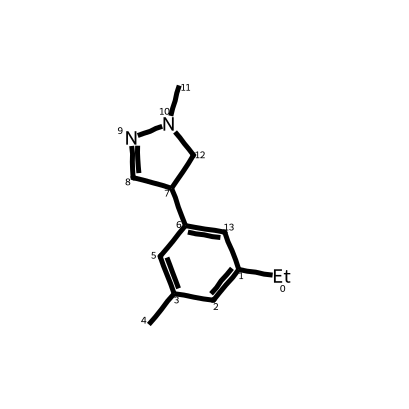 CCc1cc(C)cc(C2C=NN(C)C2)c1